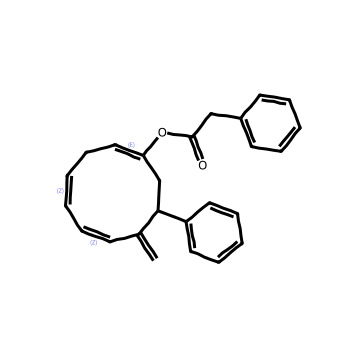 C=C1/C=C\C=C/C/C=C(/OC(=O)Cc2ccccc2)CC1c1ccccc1